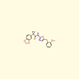 COc1ccccc1Cc1cnc(NC(=O)C2(c3ccc4c(c3)OCO4)CC2)o1